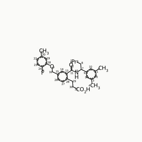 Cc1cc(C)cc(C(CC(C)C)NC(=O)c2cc(COc3cc(C)ccc3F)ccc2CCC(=O)O)c1